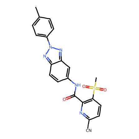 Cc1ccc(-n2nc3ccc(NC(=O)c4nc(C#N)ccc4S(C)(=O)=O)cc3n2)cc1